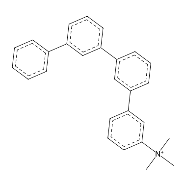 C[N+](C)(C)c1cccc(-c2cccc(-c3cccc(-c4ccccc4)c3)c2)c1